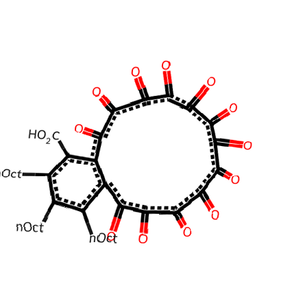 CCCCCCCCc1c(CCCCCCCC)c(C(=O)O)c2c(=O)c(=O)c(=O)c(=O)c(=O)c(=O)c(=O)c(=O)c(=O)c(=O)c(=O)c(=O)c2c1CCCCCCCC